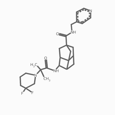 CC(C)(C(=O)NC1C2CC3CC1CC(C(=O)NCc1ccncc1)(C3)C2)N1CCCC(F)(F)C1